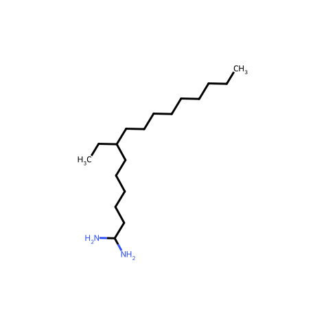 CCCCCCCCCC(CC)CCCCCC(N)N